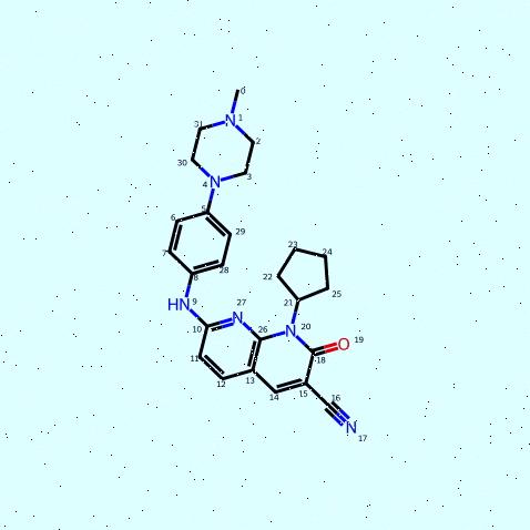 CN1CCN(c2ccc(Nc3ccc4cc(C#N)c(=O)n(C5CCCC5)c4n3)cc2)CC1